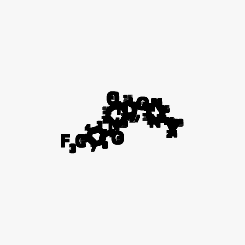 O=C(c1ccc(C(F)(F)F)cc1)N1CCC(=O)N2CC(Oc3cnc(C4CC4)cn3)CC2C1